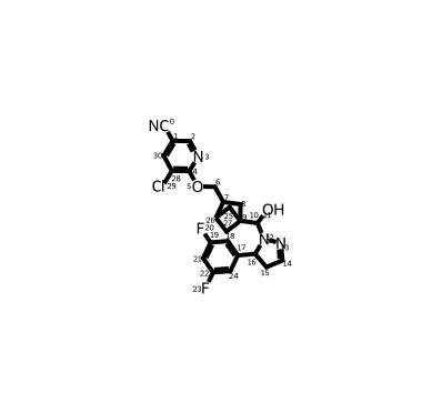 N#Cc1cnc(OCC2CC3(C(O)N4N=CCC4c4cc(F)cc(F)c4)CC2C3)c(Cl)c1